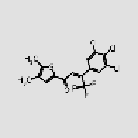 Cc1cc(C(=O)C=C(c2cc(Cl)c(Cl)c(Cl)c2)C(F)(F)F)sc1C